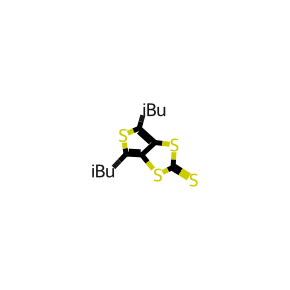 CCC(C)c1sc(C(C)CC)c2sc(=S)sc12